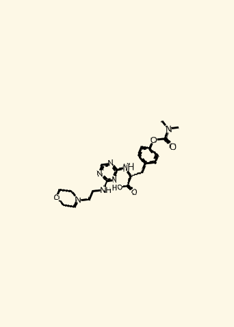 CN(C)C(=O)Oc1ccc(C[C@H](Nc2ncnc(NCCN3CCOCC3)n2)C(=O)O)cc1